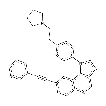 C(#Cc1ccc2ncc3ncn(-c4ccc(CCN5CCCC5)cc4)c3c2c1)c1cccnc1